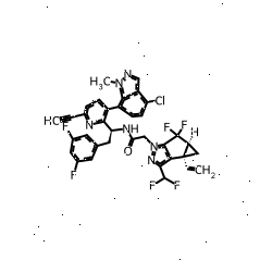 C#Cc1ccc(-c2ccc(Cl)c3cnn(C)c23)c([C@H](Cc2cc(F)cc(F)c2)NC(=O)Cn2nc(C(F)F)c3c2C(F)(F)[C@H]2C[C@@]32C=C)n1